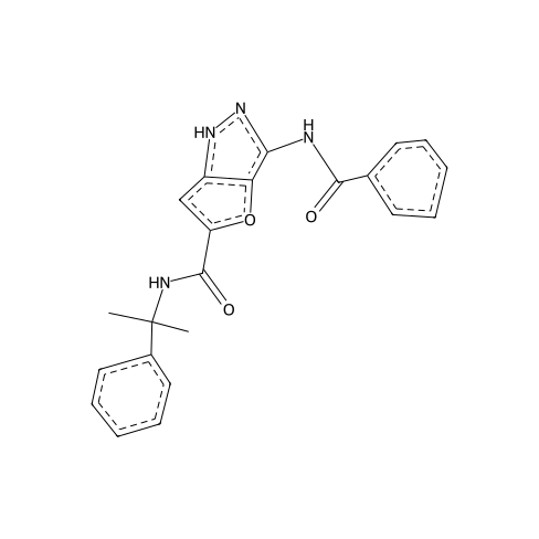 CC(C)(NC(=O)c1cc2[nH]nc(NC(=O)c3ccccc3)c2o1)c1ccccc1